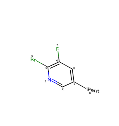 CCCC(C)c1cnc(Br)c(F)c1